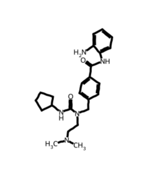 CN(C)CCN(Cc1ccc(C(=O)Nc2ccccc2N)cc1)C(=O)NC1CCCC1